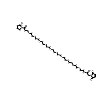 O=C(CN1C(=O)C=CC1=O)NCCOCCOCCOCCOCCOCCOCCOCCOCCOCCOCCC(=O)N1CCC[C@H]1O